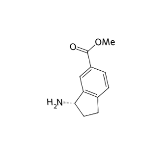 COC(=O)c1ccc2c(c1)[C@@H](N)CC2